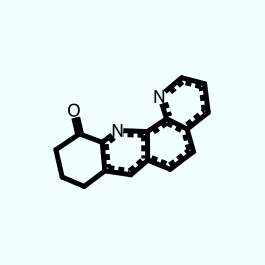 O=C1CCCc2cc3ccc4cccnc4c3nc21